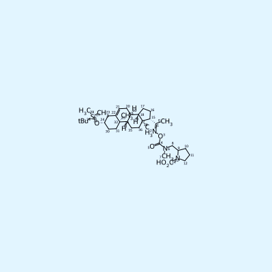 CC(=NOC(=O)N(C)CC1CCCN1C(=O)O)[C@H]1CC[C@H]2[C@@H]3CC=C4C[C@@H](O[Si](C)(C)C(C)(C)C)CC[C@]4(C)[C@H]3CC[C@]12C